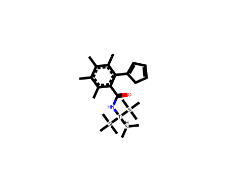 Cc1c(C)c(C)c(C2=CC=CC2)c(C(=O)[NH][Ti]([SiH](C)C)([Si](C)(C)C)[Si](C)(C)C)c1C